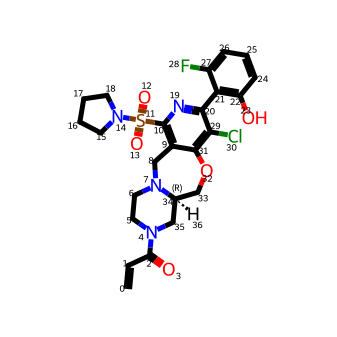 C=CC(=O)N1CCN2Cc3c(S(=O)(=O)N4CCCC4)nc(-c4c(O)cccc4F)c(Cl)c3OC[C@H]2C1